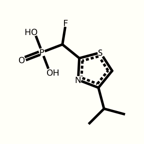 CC(C)c1csc(C(F)P(=O)(O)O)n1